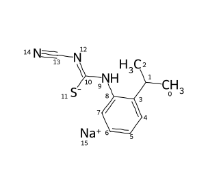 CC(C)c1ccccc1N/C([S-])=N/C#N.[Na+]